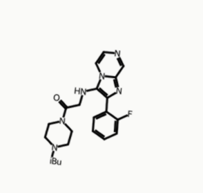 CCC(C)N1CCN(C(=O)CNc2c(-c3ccccc3F)nc3cnccn23)CC1